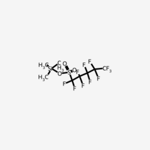 C[Si](C)(C)OS(=O)(=O)C(F)(F)C(F)(F)C(F)(F)C(F)(F)C(F)(F)F